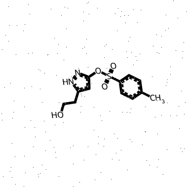 Cc1ccc(S(=O)(=O)Oc2cc(CCO)[nH]n2)cc1